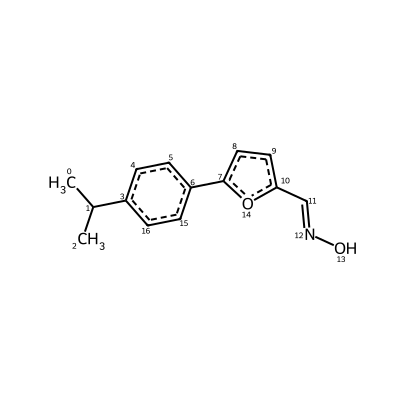 CC(C)c1ccc(-c2ccc(C=NO)o2)cc1